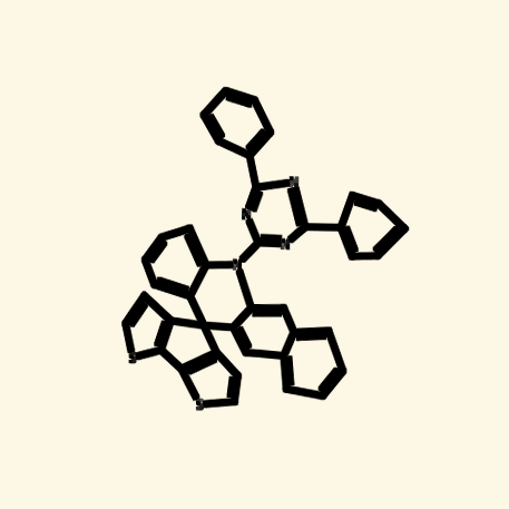 c1ccc(-c2nc(-c3ccccc3)nc(N3c4ccccc4C4(c5cc6ccccc6cc53)c3ccsc3-c3sccc34)n2)cc1